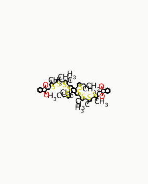 Cc1cc(C=C2C(=O)c3ccccc3C2=O)sc1-c1cc(C)c(-c2cc(C)c(-c3cc4c(-c5ccc(CC(C)C)s5)c5sc(-c6sc(-c7sc(-c8sc(C=C9C(=O)c%10ccccc%10C9=O)cc8C)cc7C)cc6C)cc5c(-c5ccc(CC(C)C)s5)c4s3)s2)s1